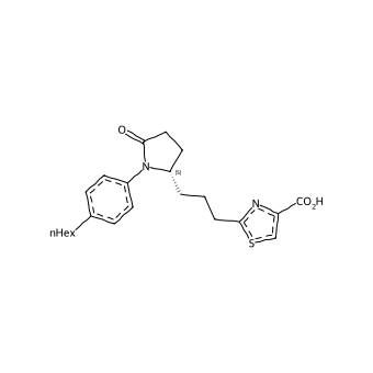 CCCCCCc1ccc(N2C(=O)CC[C@@H]2CCCc2nc(C(=O)O)cs2)cc1